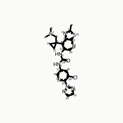 Cc1nc2c(C3(CN(C)C)CC3)c(NC(=O)Nc3cnc(-n4nccn4)c(Cl)c3)cnc2s1